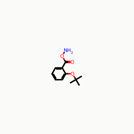 CC(C)(C)Oc1ccccc1C(=O)ON